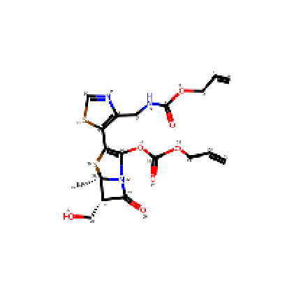 C=CCOC(=O)NCc1ncsc1C1=C(OC(=O)OCC=C)N2C(=O)[C@H](CO)[C@H]2S1